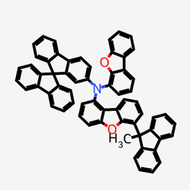 CC1(c2cccc3c2oc2cccc(N(c4ccc5c(c4)C4(c6ccccc6-c6ccccc64)c4ccccc4-5)c4cccc5c4oc4ccccc45)c23)c2ccccc2-c2ccccc21